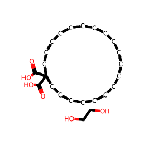 O=C(O)C1(C(=O)O)CCCCCCCCCCCCCCCCCCC1.OCCO